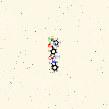 O=C(Nc1ccc(C(=O)N2CCC[C@H]2C(F)(F)F)cc1)N1Cc2ccccc2C1